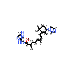 CC(C=CC1=C(C)C(n2ccnc2)CCC1(C)C)=CC=C/C(C)=C\C(=O)Nc1ncc[nH]1